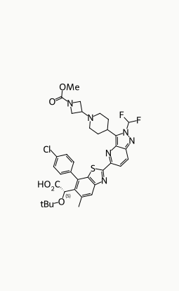 COC(=O)N1CC(N2CCC(c3c4nc(-c5nc6cc(C)c([C@H](OC(C)(C)C)C(=O)O)c(-c7ccc(Cl)cc7)c6s5)ccc4nn3C(F)F)CC2)C1